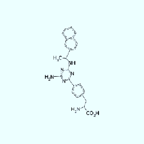 CC(Nc1nc(N)nc(-c2ccc(CC(N)C(=O)O)cc2)n1)c1ccc2ccccc2c1